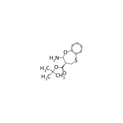 CC(C)(C)OC(=O)[C@@H]1CSc2ccccc2OC1N